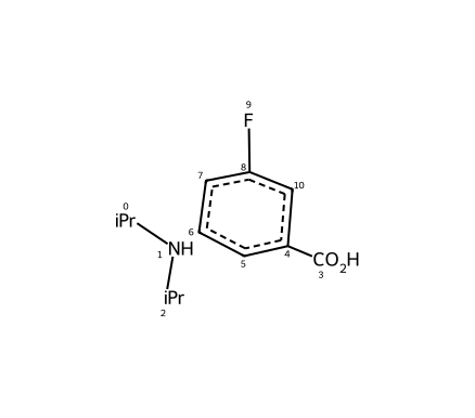 CC(C)NC(C)C.O=C(O)c1cccc(F)c1